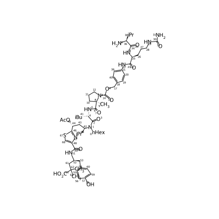 CCCCCCN(C(=O)[C@@H](NC(=O)[C@@]1(C)CCCN1C(=O)OCc1ccc(NC(=O)[C@H](CCCNC(N)=O)NC(=O)[C@@H](N)C(C)C)cc1)[C@@H](C)CC)[C@H](C[C@@H](OC(C)=O)c1nc(C(=O)N[C@@H](Cc2ccc(O)cc2)CC(C)(C)C(=O)O)cs1)C(C)C